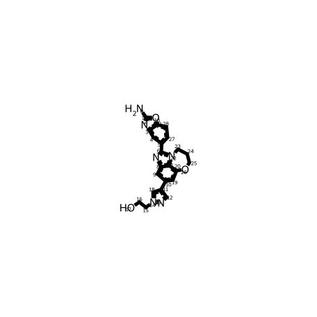 Nc1nc2cc(-c3nc4cc(-c5cnn(CCO)c5)cc5c4n3CCCO5)ccc2o1